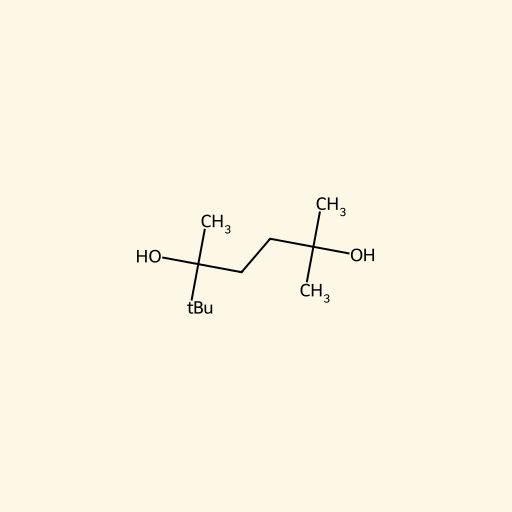 CC(C)(O)CCC(C)(O)C(C)(C)C